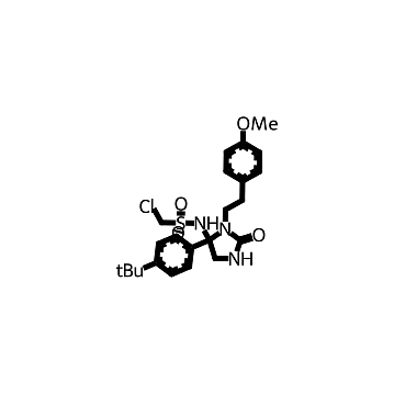 COc1ccc(CCN2C(=O)NCC2(NS(=O)(=O)CCl)c2ccc(C(C)(C)C)cc2)cc1